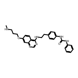 CNCCCOc1ccc2c(NCCc3ccc(NC(=O)Nc4ccccc4)cc3)ncnc2c1